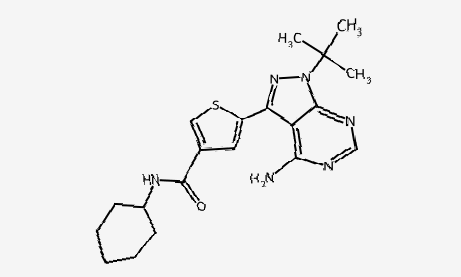 CC(C)(C)n1nc(-c2cc(C(=O)NC3CCCCC3)cs2)c2c(N)ncnc21